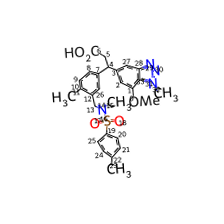 COc1cc(C(CC(=O)O)c2ccc(C)c(CN(C)S(=O)(=O)c3ccc(C)cc3)c2)cc2nnn(C)c12